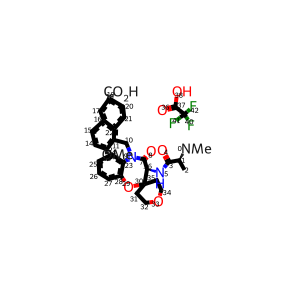 CN[C@@H](C)C(=O)N[C@@H]1C(=O)N(Cc2c(OC)ccc3cc(C(=O)O)ccc23)c2ccccc2OC12CCOCC2.O=C(O)C(F)(F)F